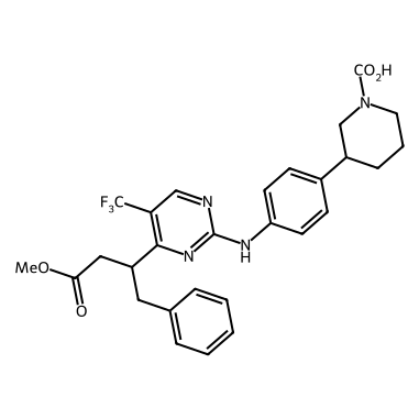 COC(=O)CC(Cc1ccccc1)c1nc(Nc2ccc(C3CCCN(C(=O)O)C3)cc2)ncc1C(F)(F)F